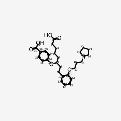 O=C(O)CCCCC(CCc1ccccc1OCCCN1CCCC1)Oc1ccc(C(=O)O)cc1